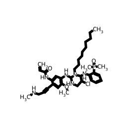 C=CC(=O)Nc1cc(NC2NCC(Cl)C(Nc3ccccc3P(C)(C)=O)N2CCCCCCCCCC)c(OC)cc1C#CCNC